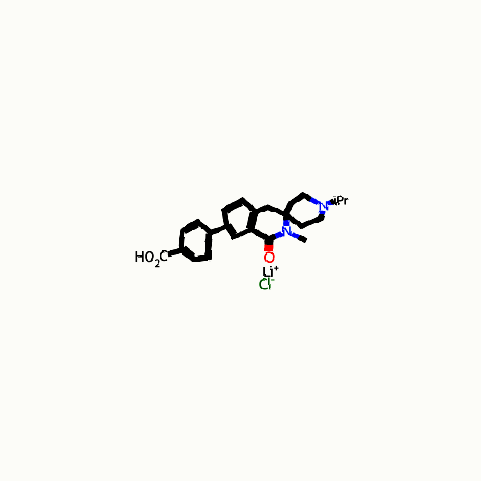 CC(C)N1CCC2(CC1)Cc1ccc(-c3ccc(C(=O)O)cc3)cc1C(=O)N2C.[Cl-].[Li+]